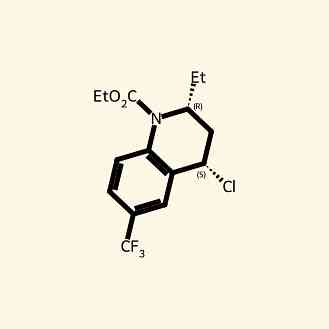 CCOC(=O)N1c2ccc(C(F)(F)F)cc2[C@@H](Cl)C[C@H]1CC